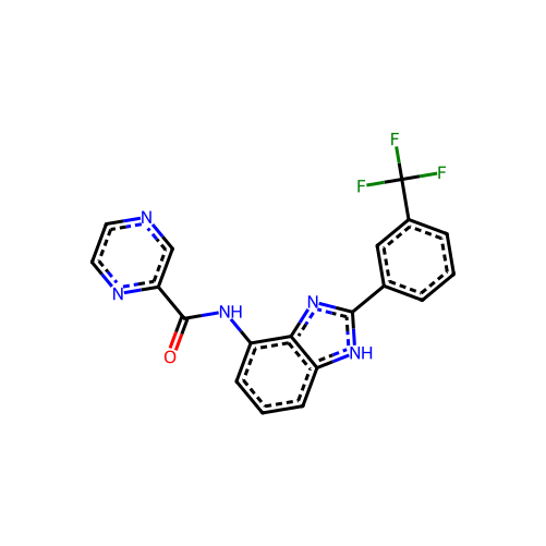 O=C(Nc1cccc2[nH]c(-c3cccc(C(F)(F)F)c3)nc12)c1cnccn1